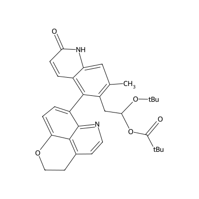 Cc1cc2[nH]c(=O)ccc2c(-c2ccc3c4c(ccnc24)CCO3)c1CC(OC(=O)C(C)(C)C)OC(C)(C)C